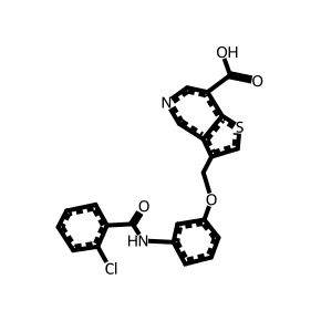 O=C(Nc1cccc(OCc2csc3c(C(=O)O)cncc23)c1)c1ccccc1Cl